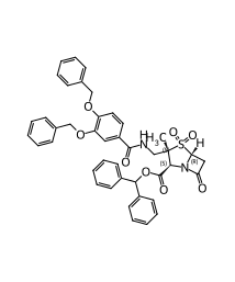 C[C@]1(CNC(=O)c2ccc(OCc3ccccc3)c(OCc3ccccc3)c2)[C@H](C(=O)OC(c2ccccc2)c2ccccc2)N2C(=O)C[C@H]2S1(=O)=O